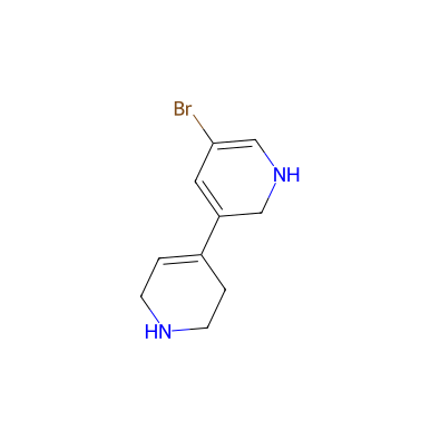 BrC1=CNCC(C2=CCNCC2)=C1